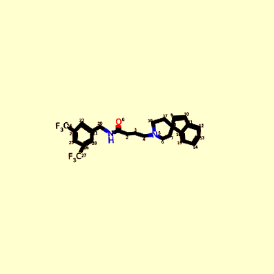 O=C(CCCN1CCC2(C=Cc3ccccc32)CC1)NCc1cc(C(F)(F)F)cc(C(F)(F)F)c1